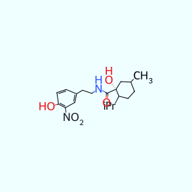 CC1CCC(C(C)C)[C@@](O)(C(=O)NCCc2ccc(O)c([N+](=O)[O-])c2)C1